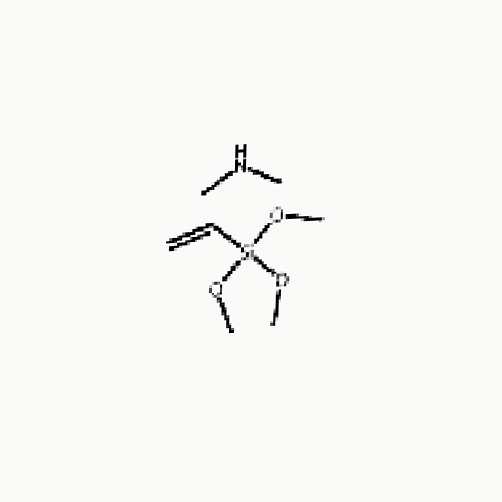 C=C[Si](OC)(OC)OC.CNC